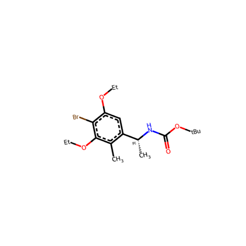 CCOc1cc([C@@H](C)NC(=O)OC(C)(C)C)c(C)c(OCC)c1Br